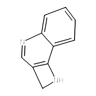 c1ccc2c3c(cnc2c1)CN3